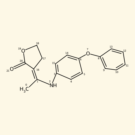 CC(Nc1ccc(Oc2ccccc2)cc1)=C1CCOC1=O